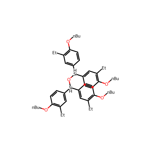 CCCCOc1ccc([SiH](O[SiH](c2ccc(OCCCC)c(CC)c2)c2ccc(OCCCC)c(CC)c2)c2ccc(OCCCC)c(CC)c2)cc1CC